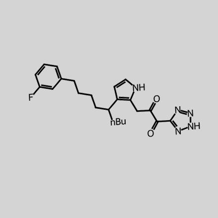 CCCCC(CCCCc1cccc(F)c1)c1cc[nH]c1CC(=O)C(=O)c1nn[nH]n1